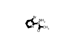 CC(=O)N(N)c1ncccc1Br